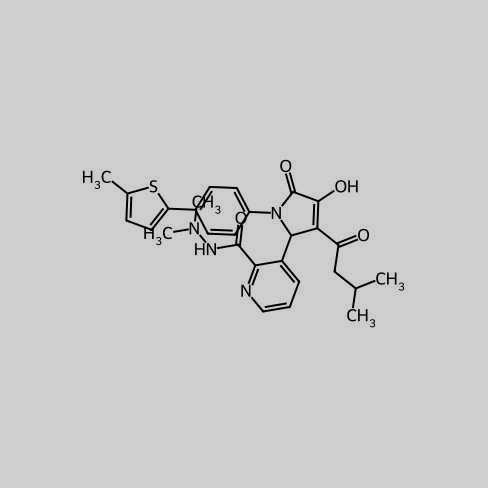 Cc1ccc(-c2ccc(N3C(=O)C(O)=C(C(=O)CC(C)C)C3c3cccnc3C(=O)NN(C)C)cc2)s1